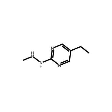 CCc1cnc(NNC)nc1